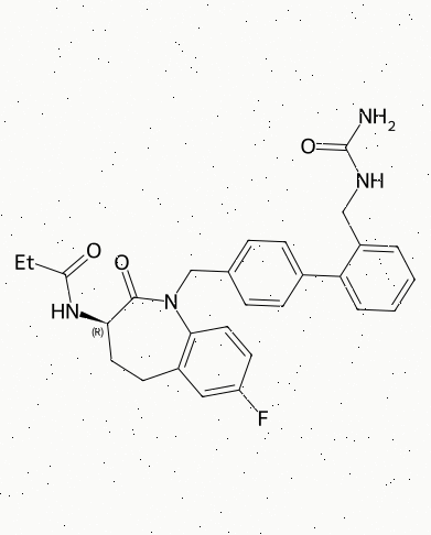 CCC(=O)N[C@@H]1CCc2cc(F)ccc2N(Cc2ccc(-c3ccccc3CNC(N)=O)cc2)C1=O